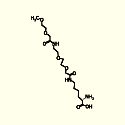 COCCOCC(=O)NCCOCCOCC(=O)NCCCC[C@H](N)C(=O)O